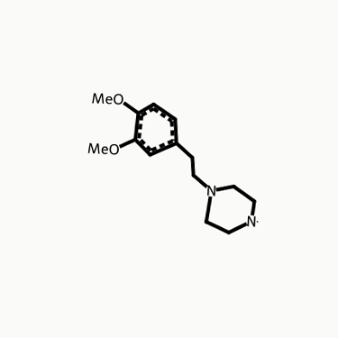 COc1ccc(CCN2CC[N]CC2)cc1OC